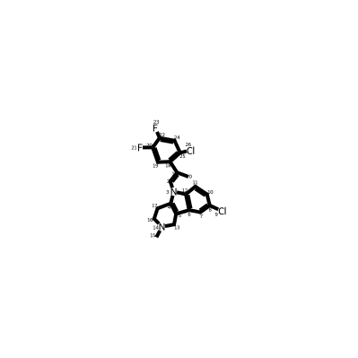 CC(=Cn1c2c(c3cc(Cl)ccc31)CN(C)CC2)c1cc(F)c(F)cc1Cl